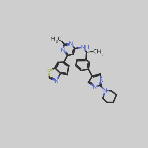 Cc1nc(N[C@@H](C)c2cccc(-c3cnc(N4CCCCC4)nc3)c2)cc(-c2ccc3ncsc3c2)n1